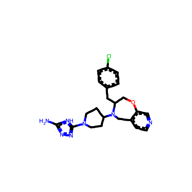 Nc1nnc(N2CCC(N3Cc4ccncc4OCC3Cc3ccc(Cl)cc3)CC2)[nH]1